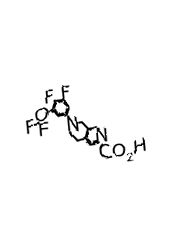 O=C(O)c1cc2c(cn1)CN(c1cc(F)c(F)c(OC(F)F)c1)CC2